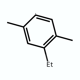 [CH2]Cc1cc(C)[c]cc1C